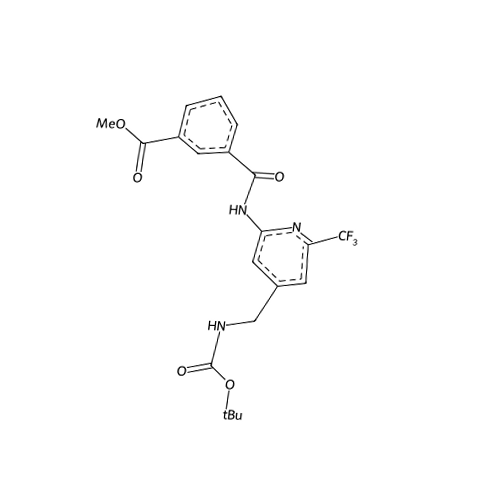 COC(=O)c1cccc(C(=O)Nc2cc(CNC(=O)OC(C)(C)C)cc(C(F)(F)F)n2)c1